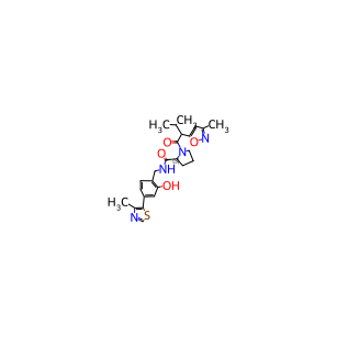 Cc1cc(C(C(=O)N2CCC[C@H]2C(=O)NCc2ccc(-c3scnc3C)cc2O)C(C)C)on1